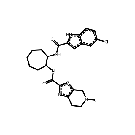 CN1CCc2nc(C(=O)N[C@H]3CCCCC[C@H]3NC(=O)c3cc4cc(Cl)ccc4[nH]3)sc2C1